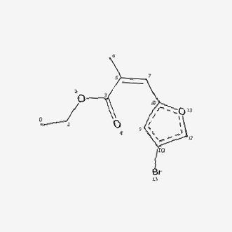 CCOC(=O)/C(C)=C\c1cc(Br)co1